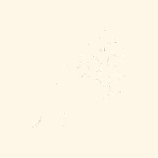 CC1CN(CCN(C)CCOP(OCCC#N)N(C(C)C)C(C)C)c2ccc(C3=c4cc5c6c(c4Oc4c3cc3c7c4C(C)(C)CCN7C(C)(C)CC3C)C(C)(C)CC[N+]=6C(C)(C)CC5C)cc2S1